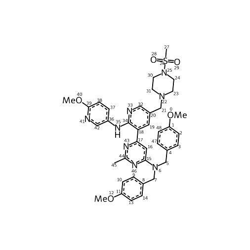 COc1ccc(CN(Cc2ccc(OC)cc2)c2cc(-c3cc(CN4CCN(S(C)(=O)=O)CC4)cnc3Nc3ccc(OC)nc3)nc(C)n2)cc1